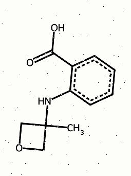 CC1(Nc2ccccc2C(=O)O)COC1